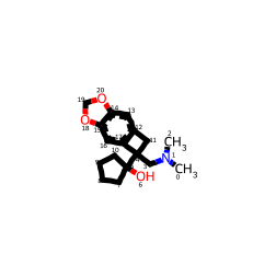 CN(C)CC1(C2(O)CCCC2)Cc2cc3c(cc21)OCO3